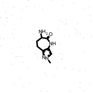 Cn1cc2c(n1)CCC(N)C(=O)N2